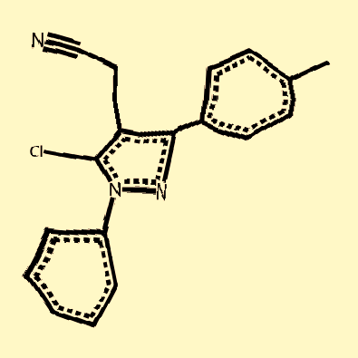 Cc1ccc(-c2nn(-c3ccccc3)c(Cl)c2CC#N)cc1